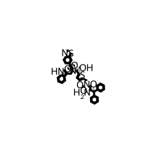 COC(=O)N(Cc1ccc([C@@H](CO)N(Cc2c[nH]c3ccccc23)S(=O)(=O)c2ccc3ncsc3c2)s1)C(=O)[C@@H](N)C(c1ccccc1)c1ccccc1